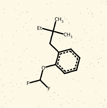 CCC(C)(C)Cc1ccccc1OC(F)F